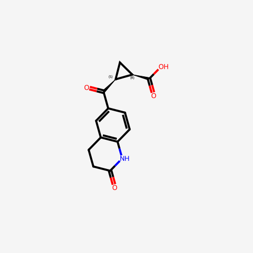 O=C1CCc2cc(C(=O)[C@H]3C[C@H]3C(=O)O)ccc2N1